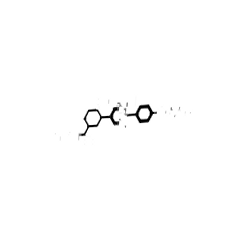 CCCCC(=O)C1CCC(C(=O)O)C(c2cnc(-c3ccc(OC)cc3)nc2)C1